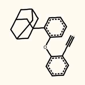 [C]#Cc1ccccc1Oc1ccccc1C12CC3CC(CC(C3)C1)C2